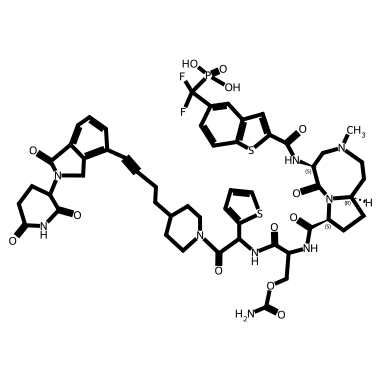 CN1CC[C@H]2CC[C@@H](C(=O)NC(COC(N)=O)C(=O)NC(C(=O)N3CCC(CCC#Cc4cccc5c4CN(C4CCC(=O)NC4=O)C5=O)CC3)c3cccs3)N2C(=O)[C@@H](NC(=O)c2cc3cc(C(F)(F)P(=O)(O)O)ccc3s2)C1